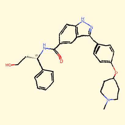 CN1CCC(Oc2ccc(-c3n[nH]c4ccc(C(=O)N[C@@H](CCO)c5ccccc5)cc34)cc2)CC1